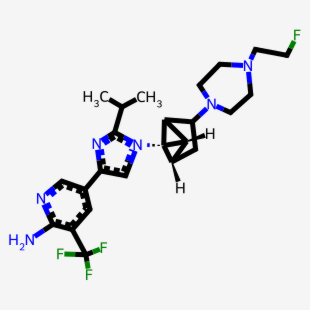 CC(C)c1nc(-c2cnc(N)c(C(F)(F)F)c2)cn1[C@@]12C3C(N4CCN(CCF)CC4)C[C@H]1[C@@H]32